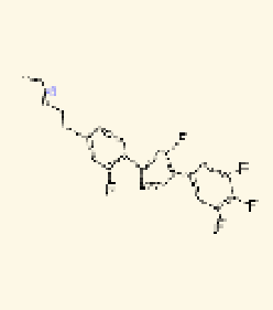 C/C=C/CCc1ccc(-c2ccc(-c3cc(F)c(F)c(F)c3)c(F)c2)c(F)c1